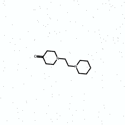 O=C1CCN(CCN2CCCCC2)CC1